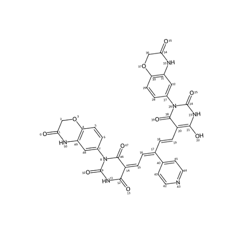 O=C1COc2ccc(N3C(=O)NC(=O)C(=CC=C(C=Cc4c(O)[nH]c(=O)n(-c5ccc6c(c5)NC(=O)CO6)c4=O)c4ccncc4)C3=O)cc2N1